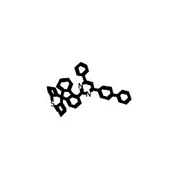 c1ccc(-c2ccc(-c3cc(-c4ccccc4)nc(-c4cccc5c4-c4ccccc4C54c5ccccc5Sc5ccccc54)n3)cc2)cc1